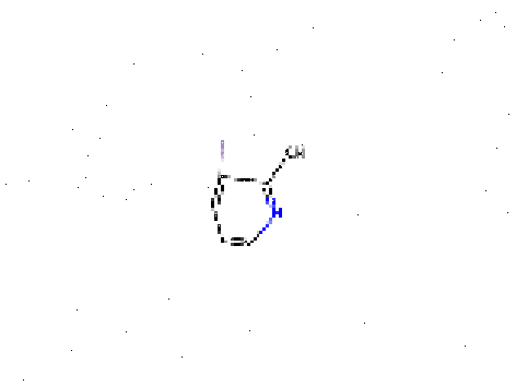 N#Cc1ncccc1I